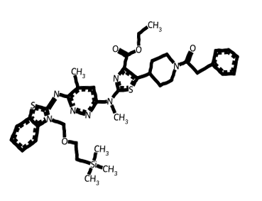 CCOC(=O)c1nc(N(C)c2cc(C)c(N=c3sc4ccccc4n3COCC[Si](C)(C)C)nn2)sc1C1CCN(C(=O)Cc2ccccc2)CC1